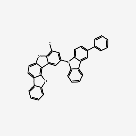 Clc1cc(-n2c3ccccc3c3cc(-c4ccccc4)ccc32)cc2c1sc1ccc3c4ccccc4oc3c12